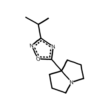 CC(C)c1noc(C23CCCN2CCC3)n1